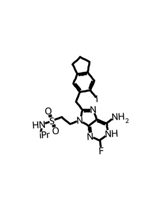 CC(C)NS(=O)(=O)CCn1c(Cc2cc3c(cc2I)CCC3)nc2c1=NC(F)NC=2N